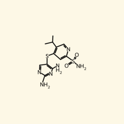 CC(C)c1cnc(S(N)(=O)=O)cc1Sc1cnc(N)nc1N